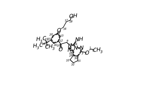 CCOc1nn2c(=N)n(CC(=O)c3cc(OCCCO)cc(C(C)(C)C)c3)nc2c2c1CCC2